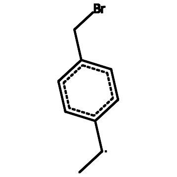 C[CH]c1ccc(CBr)cc1